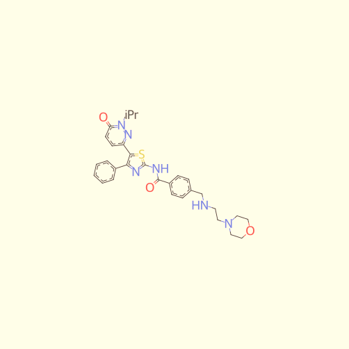 CC(C)n1nc(-c2sc(NC(=O)c3ccc(CNCCN4CCOCC4)cc3)nc2-c2ccccc2)ccc1=O